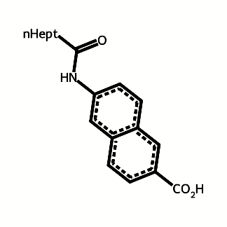 CCCCCCCC(=O)Nc1ccc2cc(C(=O)O)ccc2c1